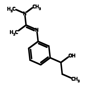 CCC(O)c1cccc(/N=C(\C)N(C)C)c1